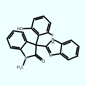 CN1C(=O)C(c2nc3ccccc3[nH]2)(c2c(O)cccc2F)c2ccccc21